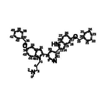 CN(C)CCCn1c(-c2cncc(-c3cc4cc(OCc5ccccc5)ccc4[nH]3)c2)cc2cc(OCc3ccccc3)ccc21